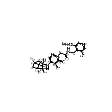 COc1cncc(Cl)c1CNC(=O)Cn1ncc(N[C@@H]2C[C@@H]3C[C@H]([C@H]2C)C3(C)C)c(Br)c1=O